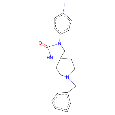 O=C1NC2(CCN(Cc3ccccc3)CC2)CN1c1ccc(I)cc1